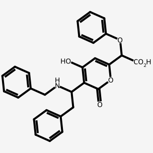 O=C(O)C(Oc1ccccc1)c1cc(O)c(C(Cc2ccccc2)NCc2ccccc2)c(=O)o1